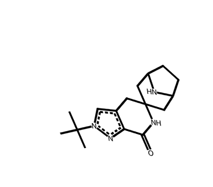 CC(C)(C)n1cc2c(n1)C(=O)NC1(C2)CC2CCC(C1)N2